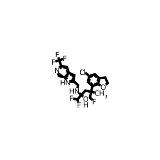 CC(CF)(CC(O)(NCc1cc2cc(C(F)(F)F)ncc2[nH]1)C(F)F)c1cc(Cl)cc2c1OCC2